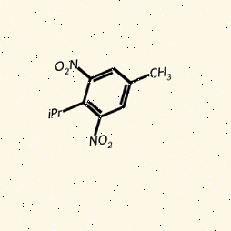 Cc1cc([N+](=O)[O-])c(C(C)C)c([N+](=O)[O-])c1